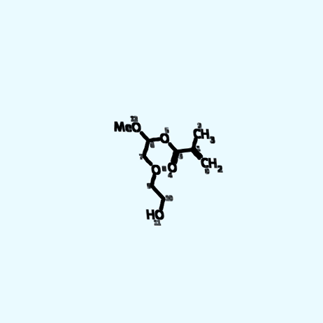 C=C(C)C(=O)OC(COCCO)OC